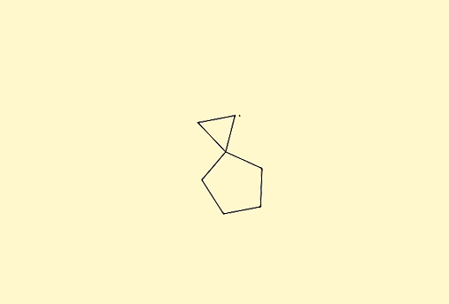 [CH]1CC12CCCC2